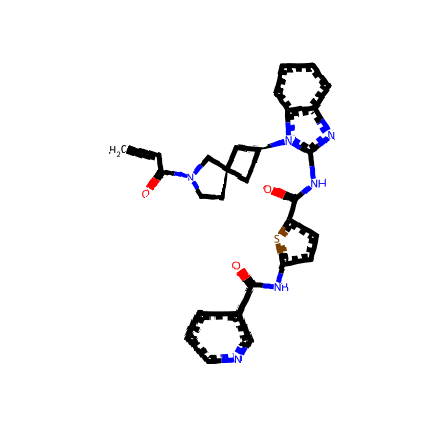 C=CC(=O)N1CC[C@]2(C1)C[C@H](n1c(NC(=O)c3ccc(NC(=O)c4cccnc4)s3)nc3ccccc31)C2